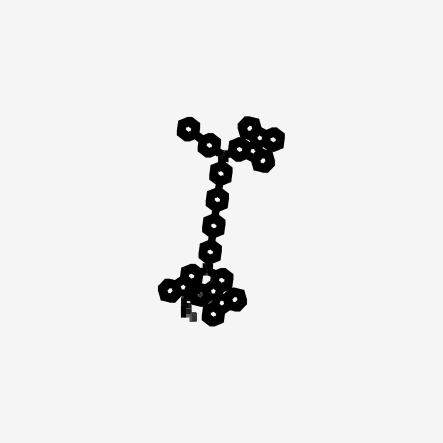 CC1(C)c2ccccc2-c2ccc(N(c3ccc(-c4ccc(-c5ccc(-c6ccc(N(c7ccc(-c8ccccc8)cc7)c7ccc8c(c7)-c7ccccc7C87c8ccccc8-c8ccccc87)cc6)cc5)cc4)cc3)c3cccc4c3-c3ccccc3C43c4ccccc4-c4ccccc43)cc21